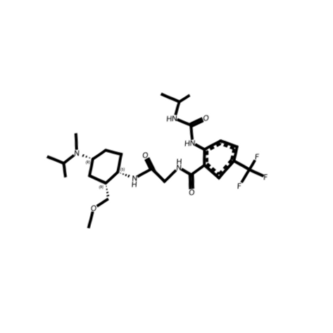 COC[C@@H]1C[C@H](N(C)C(C)C)CC[C@@H]1NC(=O)CNC(=O)c1cc(C(F)(F)F)ccc1NC(=O)NC(C)C